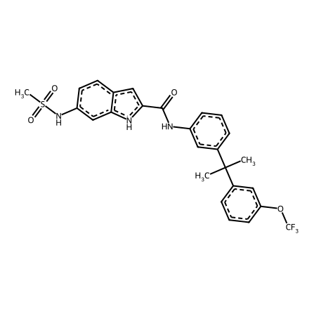 CC(C)(c1cccc(NC(=O)c2cc3ccc(NS(C)(=O)=O)cc3[nH]2)c1)c1cccc(OC(F)(F)F)c1